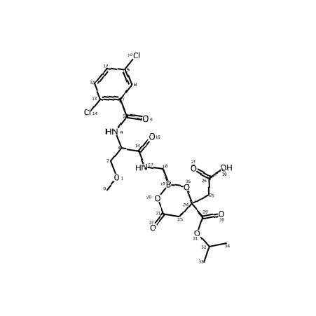 COCC(NC(=O)c1cc(Cl)ccc1Cl)C(=O)NCB1OC(=O)CC(CC(=O)O)(C(=O)OC(C)C)O1